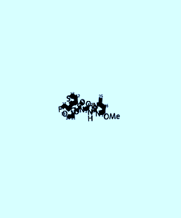 COC1=NN(NC(=O)NS(=O)(=O)c2ccsc2C2(CF)OCCO2)NC(C)=C1